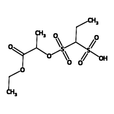 CCOC(=O)C(C)OS(=O)(=O)C(CC)S(=O)(=O)O